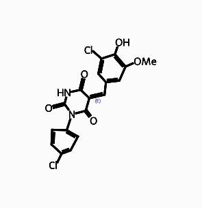 COc1cc(/C=C2\C(=O)NC(=O)N(c3ccc(Cl)cc3)C2=O)cc(Cl)c1O